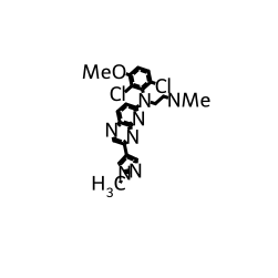 CNCCN(c1ccc2ncc(-c3cnn(C)c3)nc2n1)c1c(Cl)ccc(OC)c1Cl